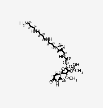 CO[C@H]1C(OP(C)(=O)O)[C@@H](COC(=O)NCc2cn(CCCNCCCCNCCCN)nn2)O[C@H]1n1ccc(=O)[nH]c1=O